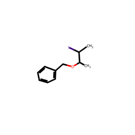 CC(I)C(C)OCc1ccccc1